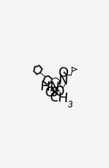 CS(=O)(=O)NC1CCN(C(=O)CC2CC2)C1Cc1cccc(-c2ccccc2)c1